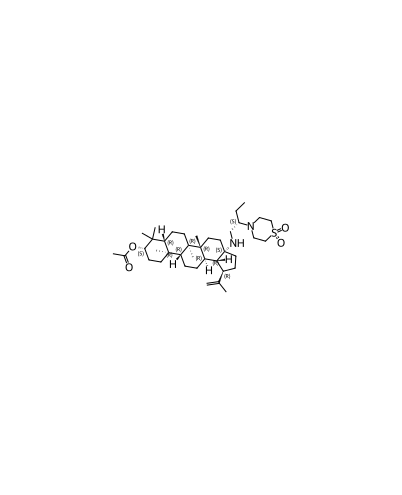 C=C(C)[C@@H]1CC[C@]2(NC[C@H](CC)N3CCS(=O)(=O)CC3)CC[C@]3(C)[C@H](CC[C@@H]4[C@@]5(C)CC[C@H](OC(C)=O)C(C)(C)[C@@H]5CC[C@]43C)[C@@H]12